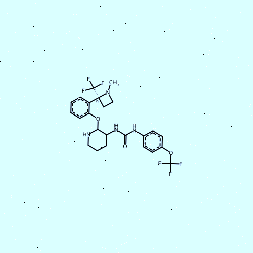 CN1CC[C@]1(c1ccccc1OC1NCCCC1NC(=O)Nc1ccc(OC(F)(F)F)cc1)C(F)(F)F